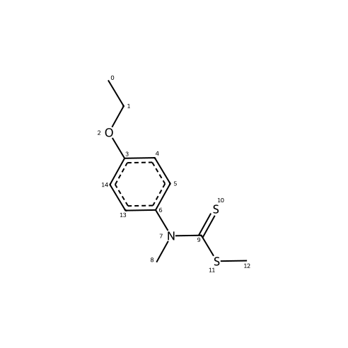 CCOc1ccc(N(C)C(=S)SC)cc1